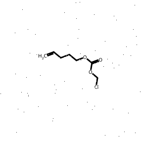 C=CCCCOC(=O)OCCl